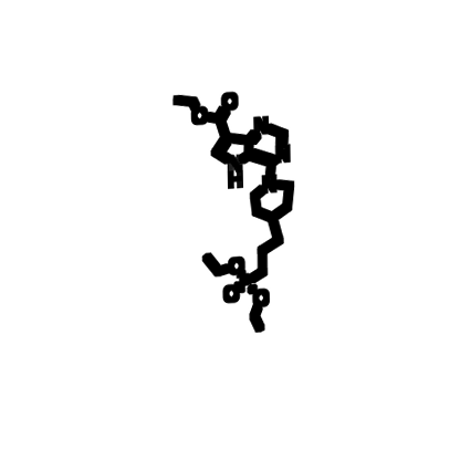 CCOC(=O)c1c[nH]c2c(N3CCC(CCCP(=O)(OCC)OCC)CC3)ncnc12